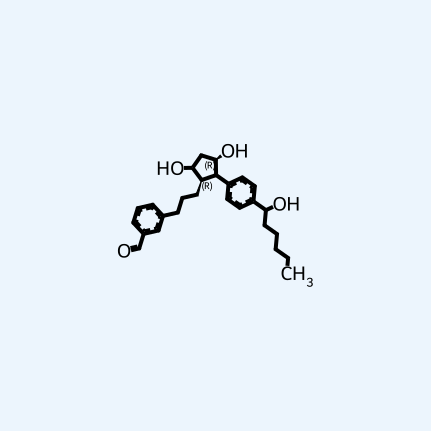 CCCCCC(O)c1ccc(C2[C@@H](CCCc3cccc(C=O)c3)C(O)C[C@H]2O)cc1